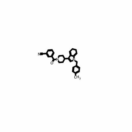 Cc1ccc(Cn2cc(C3CCN(C(=O)c4cccc(C#N)c4)CC3)c3c2=CCCC=3)cc1